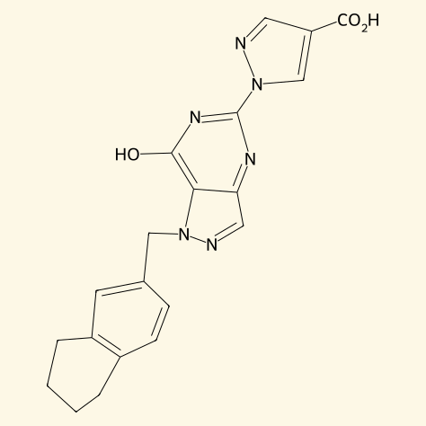 O=C(O)c1cnn(-c2nc(O)c3c(cnn3Cc3ccc4c(c3)CCCC4)n2)c1